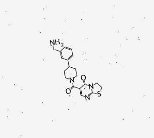 NCc1cccc(C2CCN(C(=O)c3cnc4n(c3=O)CCS4)CC2)c1